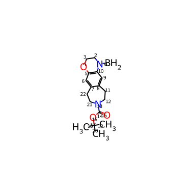 BN1CCOc2cc3c(cc21)CCN(C(=O)OC(C)(C)C)CC3